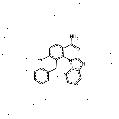 CC(C)c1ccc(C(N)=O)c(-n2cnc3cccnc32)c1Cc1ccccc1